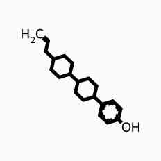 C=CCC1CCC(C2CCC(c3ccc(O)cc3)CC2)CC1